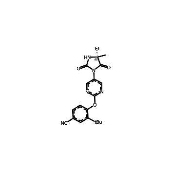 CC[C@@]1(C)NC(=O)N(c2cnc(Oc3ccc(C#N)cc3C(C)(C)C)nc2)C1=O